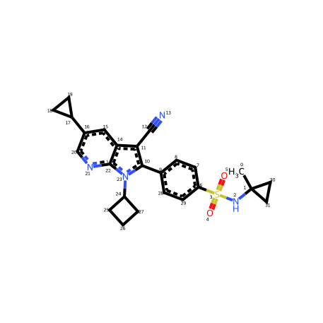 CC1(NS(=O)(=O)c2ccc(-c3c(C#N)c4cc(C5CC5)cnc4n3C3CCC3)cc2)CC1